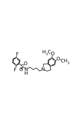 COc1cc2c(cc1OC)CN(CCCCNS(=O)(=O)c1cc(F)ccc1F)CC2